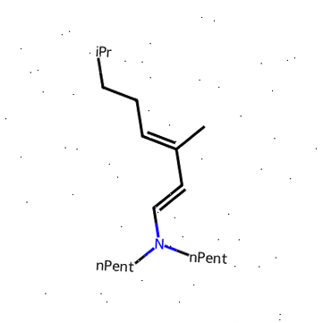 CCCCCN(C=CC(C)=CCCC(C)C)CCCCC